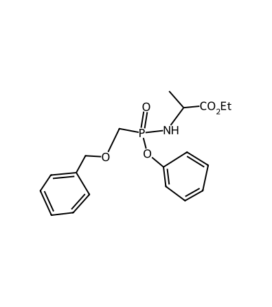 CCOC(=O)C(C)NP(=O)(COCc1ccccc1)Oc1ccccc1